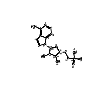 Nc1ncnc2c1ncn2[C@@H]1O[C@H](COP(=O)(O)O)[C@@H](O)C1S